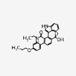 CCCOc1ccc(-c2ccc(C(=O)O)c(-c3c[nH]c4ccccc34)c2C(=O)NCC)cc1